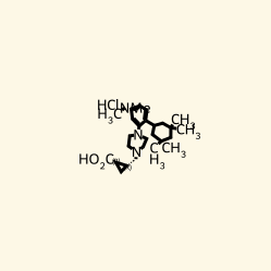 CC1(C)CC(c2ccccc2N2CCN(C[C@@H]3C[C@H]3C(=O)O)CC2)CC(C)(C)C1.CNC.Cl